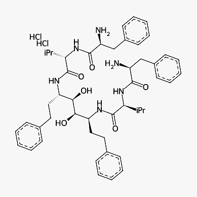 CC(C)[C@H](NC(=O)[C@@H](N)Cc1ccccc1)C(=O)N[C@@H](CCc1ccccc1)[C@@H](O)[C@H](O)[C@H](CCc1ccccc1)NC(=O)[C@@H](NC(=O)[C@@H](N)Cc1ccccc1)C(C)C.Cl.Cl